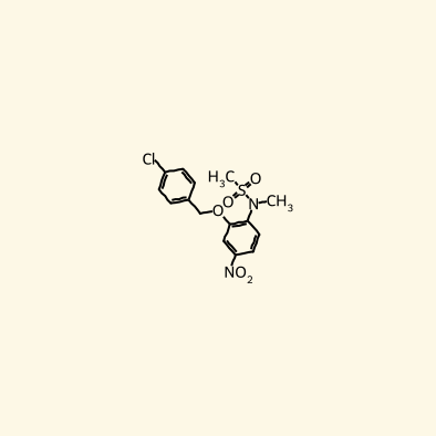 CN(c1ccc([N+](=O)[O-])cc1OCc1ccc(Cl)cc1)S(C)(=O)=O